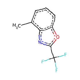 Cc1cccc2oc(C(F)(F)F)nc12